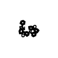 c1ccc(-c2nc3c(ccc4oc5ccc(N(c6ccccc6)c6cccc7oc8ccccc8c67)cc5c43)s2)cc1